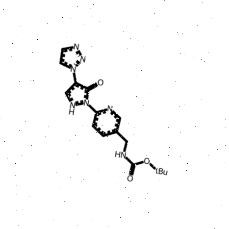 CC(C)(C)OC(=O)NCc1ccc(-n2[nH]cc(-n3ccnn3)c2=O)nc1